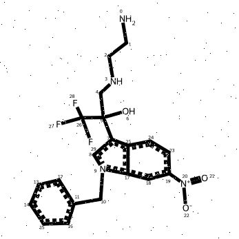 NCCNCC(O)(c1cn(Cc2ccccc2)c2cc([N+](=O)[O-])ccc12)C(F)(F)F